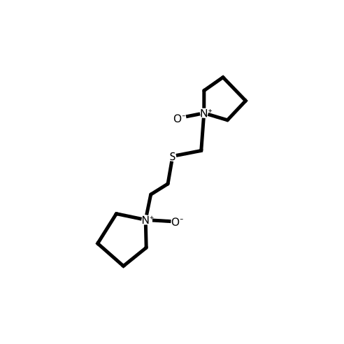 [O-][N+]1(CCSC[N+]2([O-])CCCC2)CCCC1